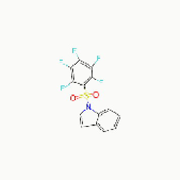 O=S(=O)(c1c(F)c(F)c(F)c(F)c1F)n1ccc2ccccc21